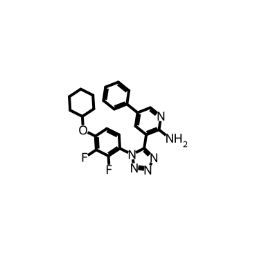 Nc1ncc(-c2ccccc2)cc1-c1nnnn1-c1ccc(OC2CCCCC2)c(F)c1F